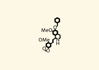 COc1cc2c(cc1C=CC1NCCc3cc(OCc4ccccc4)c(OC)cc31)OCO2